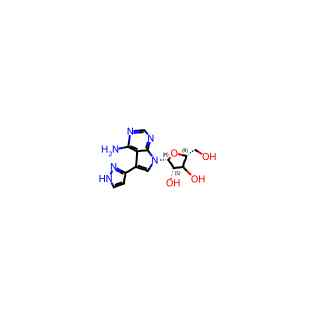 Nc1ncnc2c1c(-c1cc[nH]n1)cn2[C@@H]1O[C@H](CO)C(O)[C@@H]1O